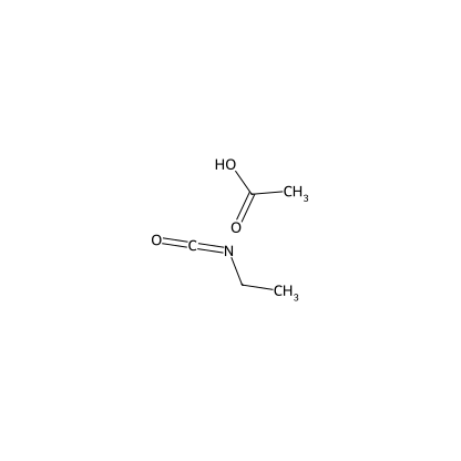 CC(=O)O.CCN=C=O